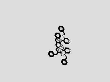 O=C(NC1C=COC[C@H]1SCc1ccccc1)C(Cc1ccccc1)CC(O)CC(Cc1ccccc1)C(=O)NC1C=COC[C@H]1SCc1ccccc1